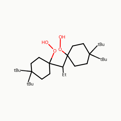 CCC(C1(OO)CCC(C(C)(C)C)(C(C)(C)C)CC1)C1(OO)CCC(C(C)(C)C)(C(C)(C)C)CC1